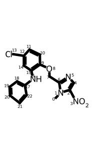 Cn1c([N+](=O)[O-])cnc1COc1ccc(Cl)cc1Nc1ccccc1